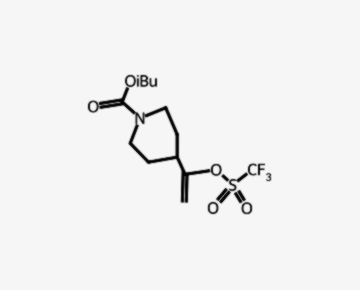 C=C(OS(=O)(=O)C(F)(F)F)C1CCN(C(=O)OCC(C)C)CC1